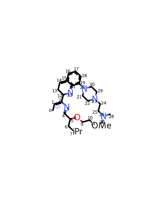 C/C=C(\N=CC(CC(C)C)OCCOC)C1CC=c2cccc(N3CCN(CCN(C)C)CC3)c2=N1